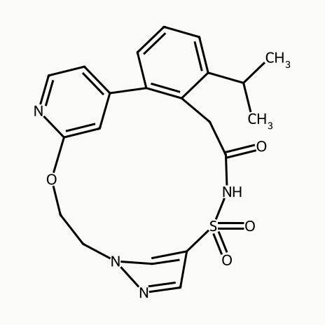 CC(C)c1cccc2c1CC(=O)NS(=O)(=O)c1cnn(c1)CCOc1cc-2ccn1